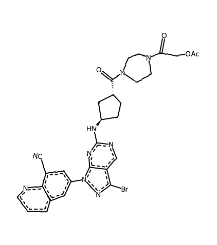 CC(=O)OCC(=O)N1CCN(C(=O)[C@@H]2CC[C@@H](Nc3ncc4c(Br)nn(-c5cc(C#N)c6ncccc6c5)c4n3)C2)CC1